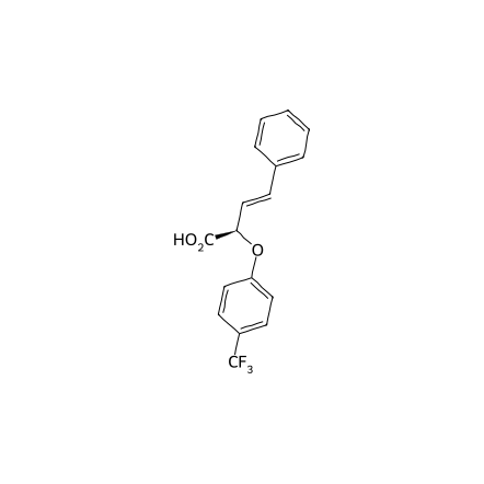 O=C(O)[C@@H](C=Cc1ccccc1)Oc1ccc(C(F)(F)F)cc1